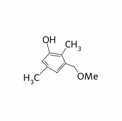 COCc1cc(C)cc(O)c1C